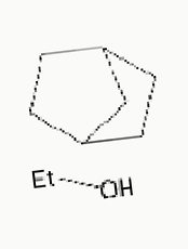 C1CC2CCC1C2.CCO